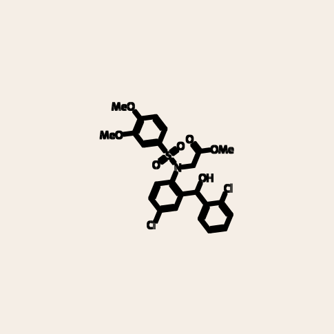 COC(=O)CN(c1ccc(Cl)cc1C(O)c1ccccc1Cl)S(=O)(=O)c1ccc(OC)c(OC)c1